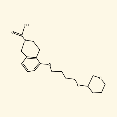 O=C(O)N1CCc2c(cccc2OCCCCOC2CCCOC2)C1